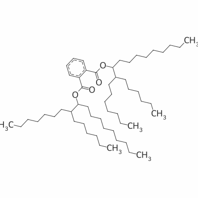 CCCCCCCCCC(OC(=O)c1ccccc1C(=O)OC(CCCCCCCCC)C(CCCCCC)CCCCCCC)C(CCCCCC)CCCCCCC